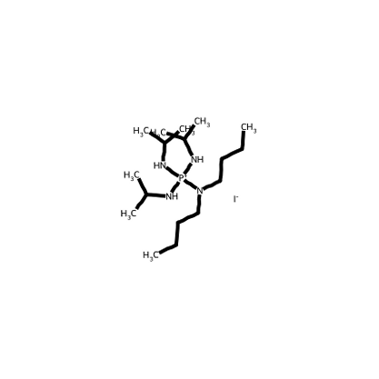 CCCCN(CCCC)[P+](NC(C)C)(NC(C)C)NC(C)C.[I-]